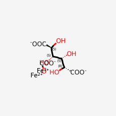 O=C([O-])[C@@H](O)[C@@H](O)[C@H](O)[C@@H](O)C(=O)[O-].O=C([O-])[O-].[Fe+2].[Fe+2]